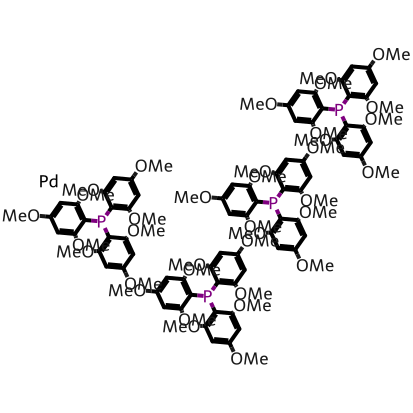 COc1cc(OC)c(P(c2c(OC)cc(OC)cc2OC)c2c(OC)cc(OC)cc2OC)c(OC)c1.COc1cc(OC)c(P(c2c(OC)cc(OC)cc2OC)c2c(OC)cc(OC)cc2OC)c(OC)c1.COc1cc(OC)c(P(c2c(OC)cc(OC)cc2OC)c2c(OC)cc(OC)cc2OC)c(OC)c1.COc1cc(OC)c(P(c2c(OC)cc(OC)cc2OC)c2c(OC)cc(OC)cc2OC)c(OC)c1.[Pd]